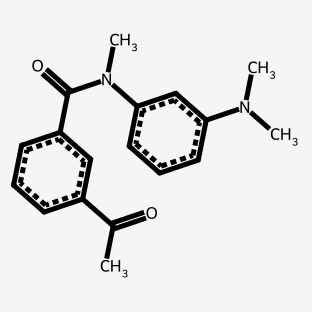 CC(=O)c1cccc(C(=O)N(C)c2cccc(N(C)C)c2)c1